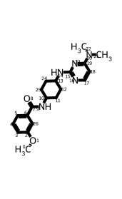 COc1cccc(C(=O)NC2CCC(Nc3nccc(N(C)C)n3)CC2)c1